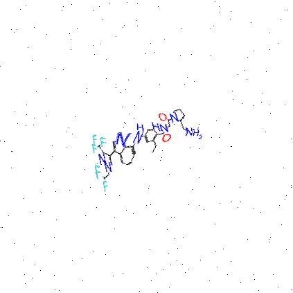 CCc1cc(Nc2ccccc3c(-c4cn(CC(F)F)nc4C(F)(F)F)cnc2-3)ccc1C(=O)NCC(=O)N1CCCC1CN